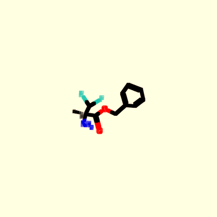 C[C@@](N)(C(=O)OCc1ccccc1)C(F)F